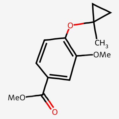 COC(=O)c1ccc(OC2(C)CC2)c(OC)c1